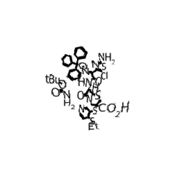 CC(C)(C)OC(N)=O.CCSc1ccncc1SC1(C(=O)O)CS[C@@H]2[C@H](NC(=O)C(=NOC(c3ccccc3)(c3ccccc3)c3ccccc3)c3nc(N)sc3Cl)C(=O)N2C1